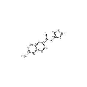 Cc1ccc2cc(C(=O)Cn3ccnc3)ccc2c1